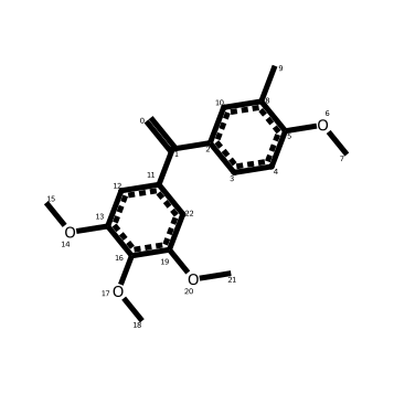 C=C(c1ccc(OC)c(C)c1)c1cc(OC)c(OC)c(OC)c1